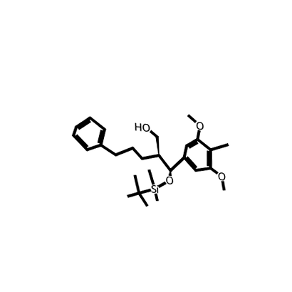 COc1cc([C@@H](O[Si](C)(C)C(C)(C)C)[C@H](CO)CCCc2ccccc2)cc(OC)c1C